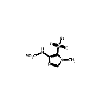 CCS(=O)(=O)c1c(NC(=O)O)ncn1C